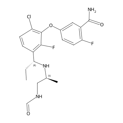 CC[C@@H](N[C@@H](C)CNC=O)c1ccc(Cl)c(Oc2ccc(F)c(C(N)=O)c2)c1F